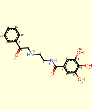 O=C(CNCCNC(=O)c1cc(O)c(O)c(O)c1)c1ccccc1